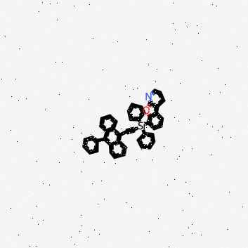 C(#C[Si](c1ccccc1)(c1ccccc1)c1cccc2c1oc1ncccc12)c1c2ccccc2c(-c2ccccc2)c2ccccc12